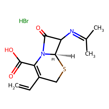 Br.C=CC1=C(C(=O)O)N2C(=O)C(N=C(C)C)[C@H]2SC1